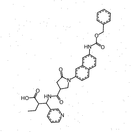 CCC(C(=O)O)C(NC(=O)C1CC(=O)N(c2ccc3ccc(NC(=O)OCc4ccccc4)cc3c2)C1)c1cccnc1